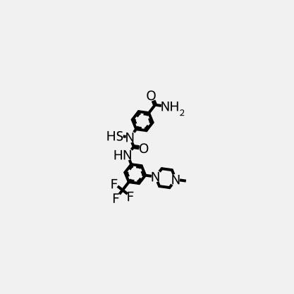 CN1CCN(c2cc(NC(=O)N(S)c3ccc(C(N)=O)cc3)cc(C(F)(F)F)c2)CC1